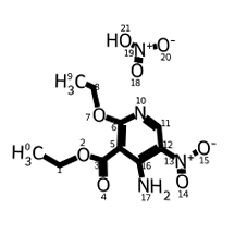 CCOC(=O)c1c(OCC)ncc([N+](=O)[O-])c1N.O=[N+]([O-])O